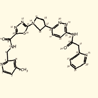 Cc1ccnc(CNC(=O)c2nnc(N3CCC(c4ccc(NC(=O)Cc5ccccn5)nn4)C3)s2)c1